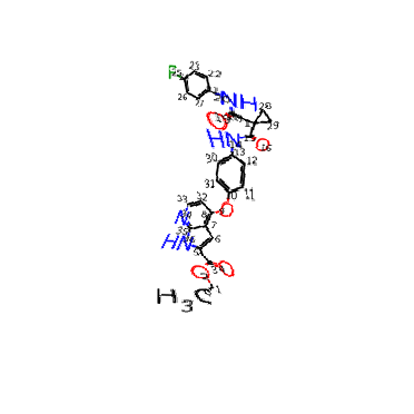 CCOC(=O)c1cc2c(Oc3ccc(NC(=O)C4(C(=O)Nc5ccc(F)cc5)CC4)cc3)ccnc2[nH]1